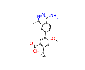 COc1cc(C2CC2)c(B(O)O)cc1-c1ccc2c(N)nnc(C)c2c1